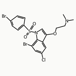 CN(C)CCOc1cn(S(=O)(=O)c2ccc(Br)cc2)c2c(Br)cc(Cl)cc12